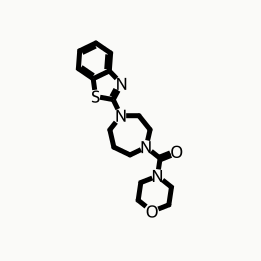 O=C(N1CCOCC1)N1CCCN(c2nc3ccccc3s2)CC1